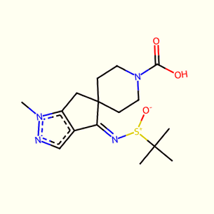 Cn1ncc2c1CC1(CCN(C(=O)O)CC1)/C2=N\[S+]([O-])C(C)(C)C